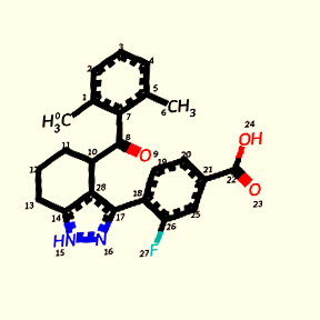 Cc1cccc(C)c1C(=O)C1CCCc2[nH]nc(-c3ccc(C(=O)O)cc3F)c21